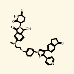 CN(CCOc1ccc(-n2cc(-c3ccc4c(c3)CCC4=O)c(-c3ccncc3)n2)cc1)c1ccc2c(c1)C(=O)N(C1CCC(=O)NC1=O)C2O